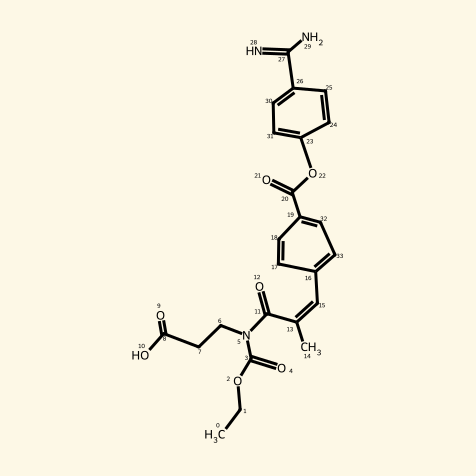 CCOC(=O)N(CCC(=O)O)C(=O)C(C)=Cc1ccc(C(=O)Oc2ccc(C(=N)N)cc2)cc1